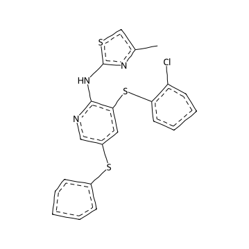 Cc1csc(Nc2ncc(Sc3ccccc3)cc2Sc2ccccc2Cl)n1